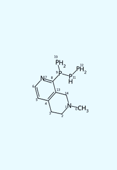 CN1CCc2ccnc(P(P)PP)c2C1